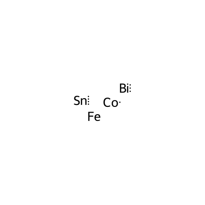 [Bi].[Co].[Fe].[Sn]